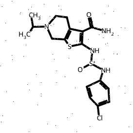 CC(C)N1CCc2c(sc(N[S+]([O-])Nc3ccc(Cl)cc3)c2C(N)=O)C1